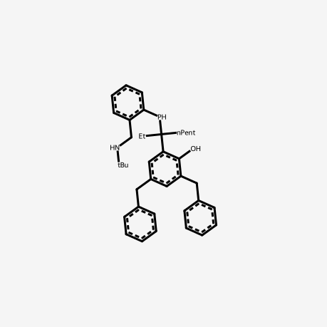 CCCCCC(CC)(Pc1ccccc1CNC(C)(C)C)c1cc(Cc2ccccc2)cc(Cc2ccccc2)c1O